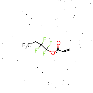 C=CC(=O)OC(F)(F)C(F)(F)CC(F)(F)F